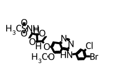 COc1cc2c(Nc3ccc(Br)c(Cl)c3)ncnc2cc1OC1CO[C@H]2[C@H](NS(C)(=O)=O)CO[C@@H]12